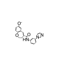 COc1ccc2c(c1)C=C(C(=O)Nc1cccc(-n3ccnc3)c1)CCO2